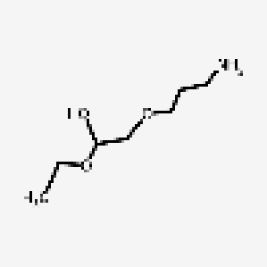 CCOC(O)COCCCN